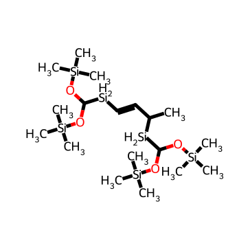 CC(C=C[SiH2]C(O[Si](C)(C)C)O[Si](C)(C)C)[SiH2]C(O[Si](C)(C)C)O[Si](C)(C)C